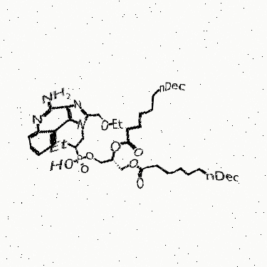 CCCCCCCCCCCCCCCC(=O)OC[C@H](COP(=O)(O)C(CC)Cn1c(COCC)nc2c(N)nc3ccccc3c21)OC(=O)CCCCCCCCCCCCCCC